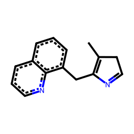 CC1=C(Cc2cccc3cccnc23)N=CC1